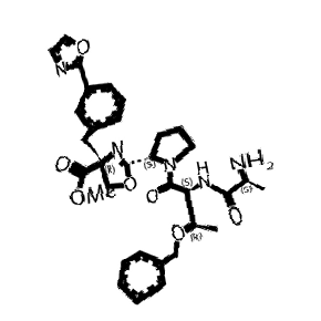 COC(=O)[C@@]1(Cc2cccc(-c3ncco3)c2)COC([C@@H]2CCCN2C(=O)[C@@H](NC(=O)[C@H](C)N)[C@@H](C)OCc2ccccc2)=N1